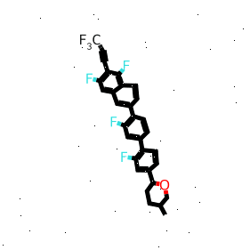 CC1CCC(c2ccc(-c3ccc(-c4ccc5c(F)c(C#CC(F)(F)F)c(F)cc5c4)c(F)c3)c(F)c2)OC1